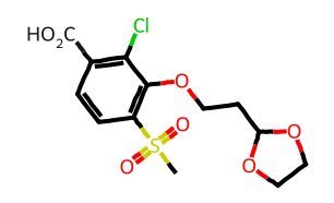 CS(=O)(=O)c1ccc(C(=O)O)c(Cl)c1OCCC1OCCO1